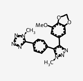 COc1cc(-c2nnn(C)c2-c2ccc(-c3nnnn3C)cc2)cc2c1OCO2